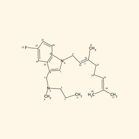 CCCN(C)Cc1cn(C/C=C(\C)CCC=C(C)C)c2ccc(F)cc12